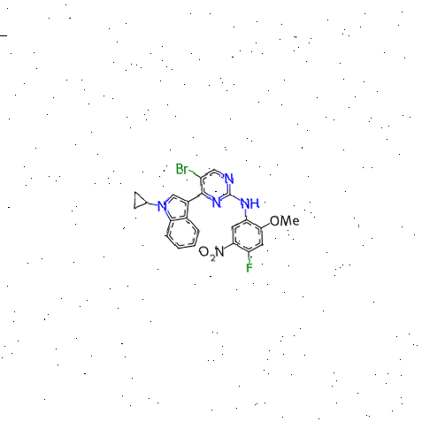 COc1cc(F)c([N+](=O)[O-])cc1Nc1ncc(Br)c(-c2cn(C3CC3)c3ccccc23)n1